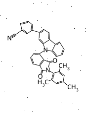 Cc1cc(C)c(N2C(=O)c3cccc(-n4c5ccccc5c5ccc(-c6cccc(C#N)c6)cc54)c3C2=O)c(C)c1